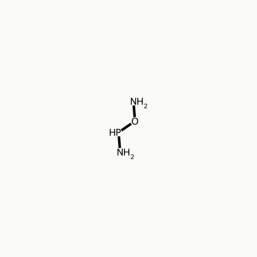 NOPN